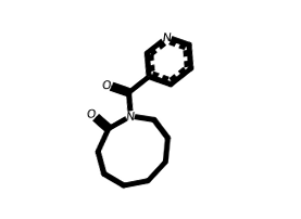 O=C1CCCCCCCN1C(=O)c1cccnc1